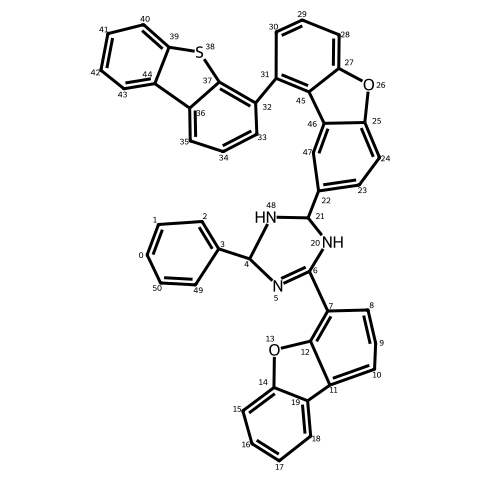 c1ccc(C2N=C(c3cccc4c3oc3ccccc34)NC(c3ccc4oc5cccc(-c6cccc7c6sc6ccccc67)c5c4c3)N2)cc1